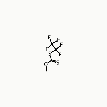 COC(=S)SC(F)(F)C(F)(F)F